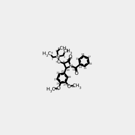 CC[Si](CC)(CC)OC1C(=O)N(C(=O)c2ccccc2)C1c1ccc(OC)c(OC)c1